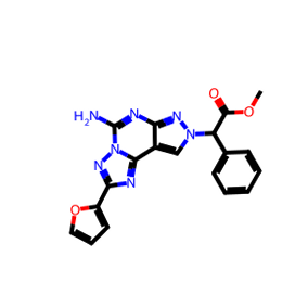 COC(=O)C(c1ccccc1)n1cc2c(nc(N)n3nc(-c4ccco4)nc23)n1